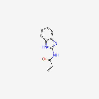 C=CC(=O)Nc1nc2ccccc2[nH]1